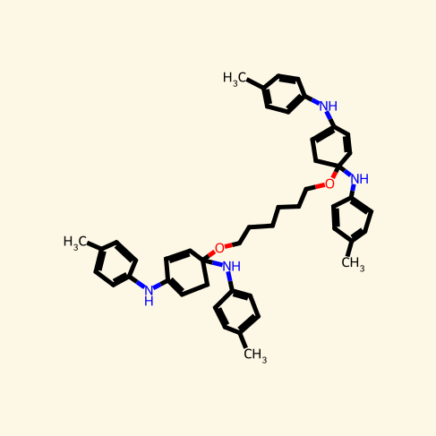 Cc1ccc(NC2=CCC(Nc3ccc(C)cc3)(OCCCCCCOC3(Nc4ccc(C)cc4)C=CC(Nc4ccc(C)cc4)=CC3)C=C2)cc1